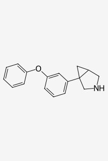 c1ccc(Oc2cccc(C34CNCC3C4)c2)cc1